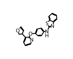 C1=CC(c2cccnc2Oc2ccc(Nc3nc4ccccc4s3)cc2)CO1